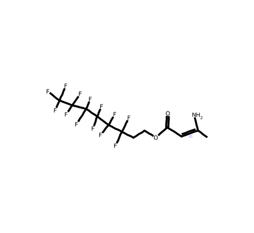 C/C(N)=C/C(=O)OCCC(F)(F)C(F)(F)C(F)(F)C(F)(F)C(F)(F)C(F)(F)F